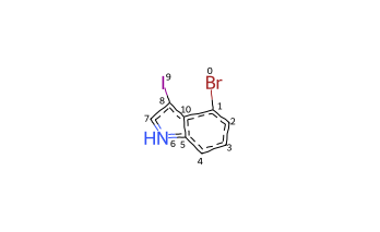 Brc1cccc2[nH]cc(I)c12